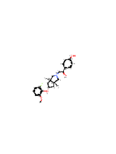 COc1cccc(F)c1O[C@@H]1C[C@@H]2CN(CC(=O)c3ccc(O)cc3)C[C@@H]2C1